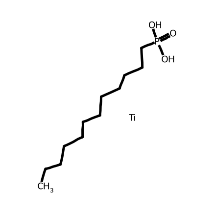 CCCCCCCCCCCCP(=O)(O)O.[Ti]